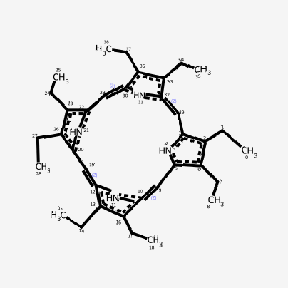 CCc1c2[nH]c(c1CC)/C=c1\[nH]/c(c(CC)c1CC)=C\c1[nH]c(c(CC)c1CC)/C=c1\[nH]/c(c(CC)c1CC)=C\2